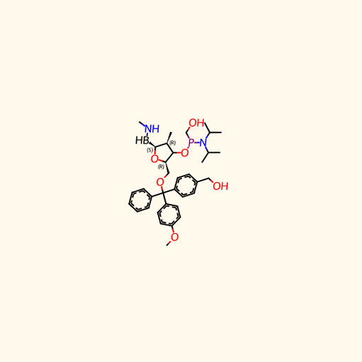 CNB[C@@H]1O[C@H](COC(c2ccccc2)(c2ccc(CO)cc2)c2ccc(OC)cc2)C(OP(CO)N(C(C)C)C(C)C)[C@@H]1C